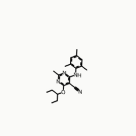 CCC(CC)Oc1nc(C)nc(Nc2c(C)cc(C)cc2C)c1C#N